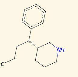 [CH2]CCC(c1ccccc1)[C@H]1CCCNC1